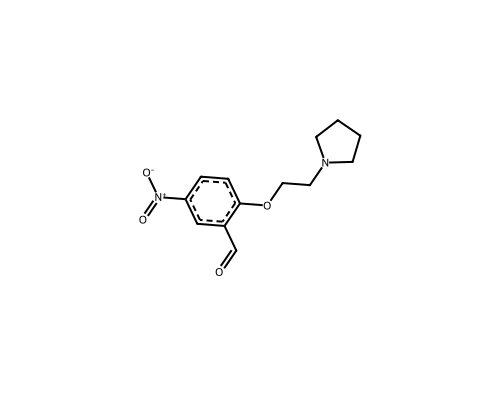 O=Cc1cc([N+](=O)[O-])ccc1OCCN1CCCC1